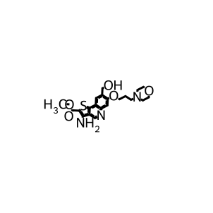 COC(=O)c1sc2c(cnc3cc(OCCCN4CCOCC4)c(CO)cc32)c1N